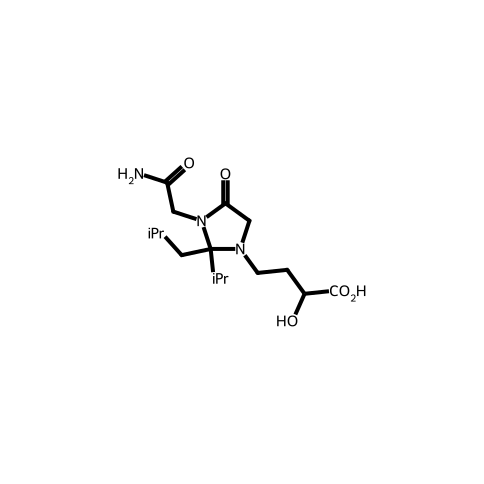 CC(C)CC1(C(C)C)N(CCC(O)C(=O)O)CC(=O)N1CC(N)=O